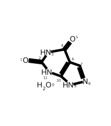 O.O=c1[nH]c(=O)c2cn[nH]c2[nH]1